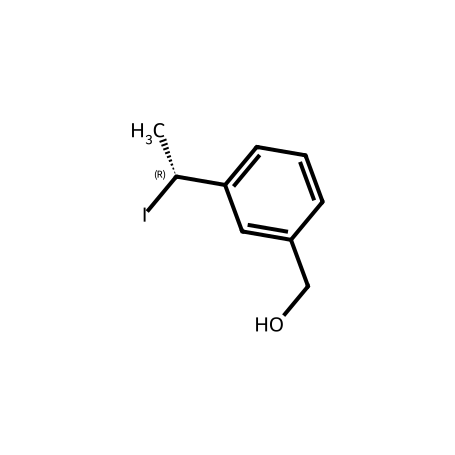 C[C@@H](I)c1cccc(CO)c1